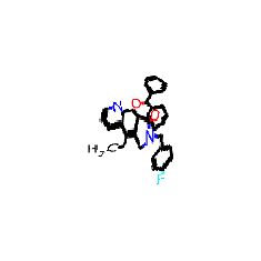 C=Cc1c2c(c(OC(c3ccccc3)c3ccccc3)c3ncccc13)C(=O)N(Cc1ccc(F)cc1)C2